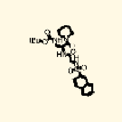 CC(C)(C)OC(=O)NCC(NC(=O)CNS(=O)(=O)c1ccc2ccccc2c1)C(=O)N1CCCCC1